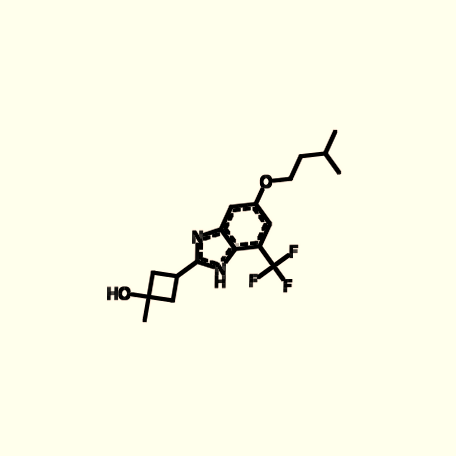 CC(C)CCOc1cc(C(F)(F)F)c2[nH]c(C3CC(C)(O)C3)nc2c1